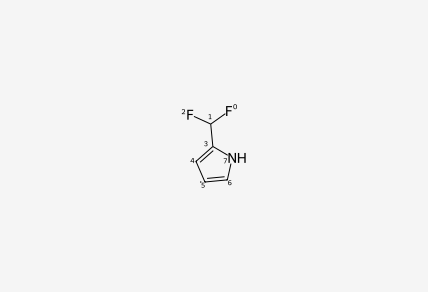 FC(F)c1c[c]c[nH]1